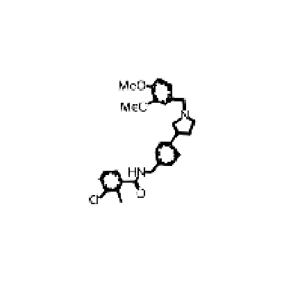 COc1ccc(CN2CCC(c3ccc(CNC(=O)c4cccc(Cl)c4C)cc3)C2)cc1OC